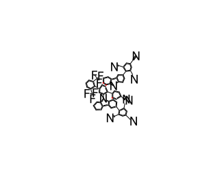 N#Cc1cc(C#N)c(-c2ccc3c(c2)c2ccccc2n3-c2cc(C#N)ccc2-c2ccc(-c3c(C(F)(F)F)cccc3C(F)(F)F)cc2-n2c3ccccc3c3cc(-c4c(C#N)cc(C#N)cc4C#N)ccc32)c(C#N)c1